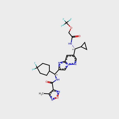 Cc1nonc1C(=O)N[C@H](c1cn2ncc([C@H](NC(=O)COC(F)(F)F)C3CC3)cc2n1)C1CCC(F)(F)CC1